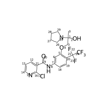 CC(O)(COc1cc(NC(=O)c2cccnc2Cl)ccc1C(F)(F)C(F)(F)F)N1CCCC1